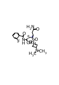 C=C(NC(=O)c1ccccc1F)S/C(=C\CC(N)=O)S(=O)(=O)N1CC(N(C)C)C1